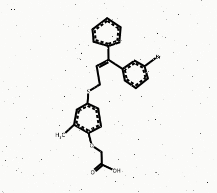 Cc1cc(SCC=C(c2ccccc2)c2cccc(Br)c2)ccc1OCC(=O)O